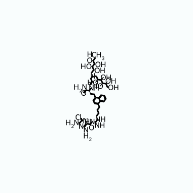 CC[C@@H](O)[C@@H](O)[C@H](O)[C@@H](O)CN(CCCN[C@@H](CCc1ccc(CCCCNC(=N)NC(=O)c2nc(Cl)c(N)nc2N)c2ccccc12)C(N)=O)C[C@H](O)[C@@H](O)[C@H](O)[C@H](O)CO